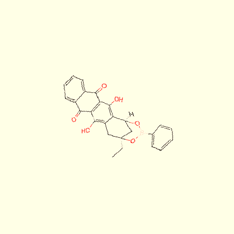 CC[C@]12Cc3c(O)c4c(c(O)c3[C@H](C1)OB(c1ccccc1)O2)C(=O)c1ccccc1C4=O